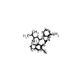 CC(C)C(N)CCn1c(Sc2cc3ncoc3cc2C#N)nc2c(N)ncnc21